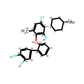 CCCC[C@H]1CC[C@H](c2c(F)cc(C)c(Oc3ccccc3-c3ccc(F)c(F)c3)c2F)CC1